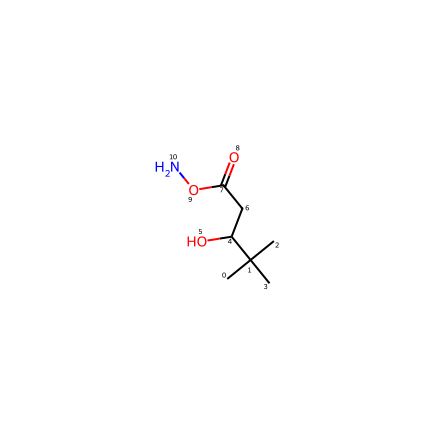 CC(C)(C)C(O)CC(=O)ON